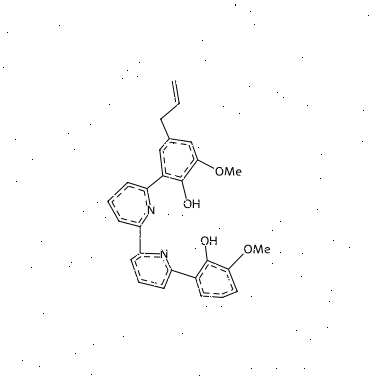 C=CCc1cc(OC)c(O)c(-c2cccc(-c3cccc(-c4cccc(OC)c4O)n3)n2)c1